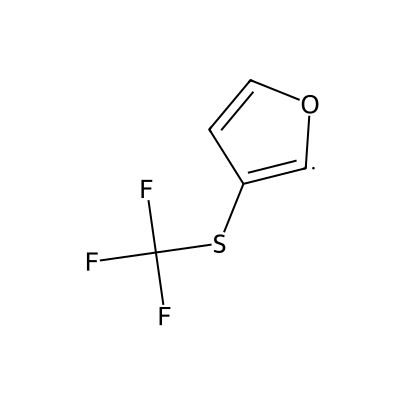 FC(F)(F)Sc1[c]occ1